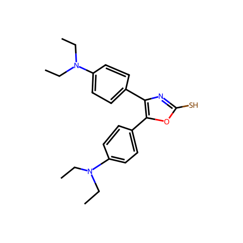 CCN(CC)c1ccc(-c2nc(S)oc2-c2ccc(N(CC)CC)cc2)cc1